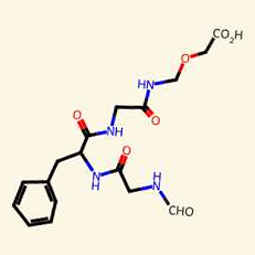 O=CNCC(=O)NC(Cc1ccccc1)C(=O)NCC(=O)NCOCC(=O)O